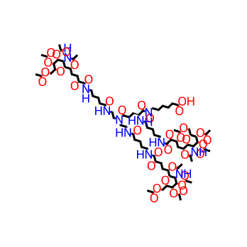 CC(=O)NC1C(CCCC(=O)C(=O)NCCCCC(=O)NCCN(CCNC(=O)CCCCNC(=O)C(=O)CCCC2OC(COC(C)=O)C(OC(C)=O)C(OC(C)=O)C2NC(C)=O)C(=O)CC[C@H](NC(=O)CCCCNC(=O)C(=O)CCCC2OC(COC(C)=O)C(OC(C)=O)C(OC(C)=O)C2NC(C)=O)C(=O)NCCCCCC(=O)O)OC(COC(C)=O)C(OC(C)=O)C1OC(C)=O